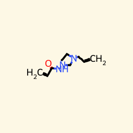 C=CCN1CCN(NC(=O)C=C)C1